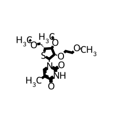 COCCO[C@H]1C(OC)[C@@H](COC)S[C@H]1n1cc(C)c(=O)[nH]c1=O